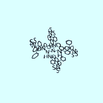 O=C(NCCN(CCNC(=O)c1cccc(C(=O)N2CCSC2=S)c1OCc1ccccc1)CCN(CCNC(=O)c1cccc(C(=O)N2CCSC2=S)c1OCc1ccccc1)CCNC(=O)c1cccc(C(=O)N2CCSC2=S)c1OCc1ccccc1)c1cccc(C(=O)N2CCSC2=S)c1OCc1ccccc1